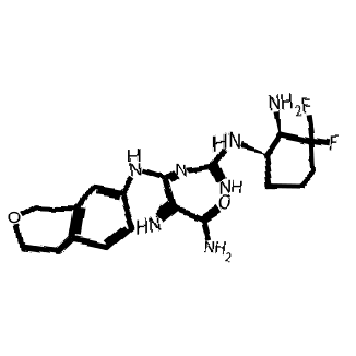 N=C(/N=C(/Nc1ccc2c(c1)COCC2)C(=N)C(N)=O)N[C@@H]1CCCC(F)(F)[C@@H]1N